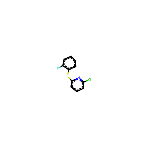 Fc1ccccc1Sc1cccc(Cl)n1